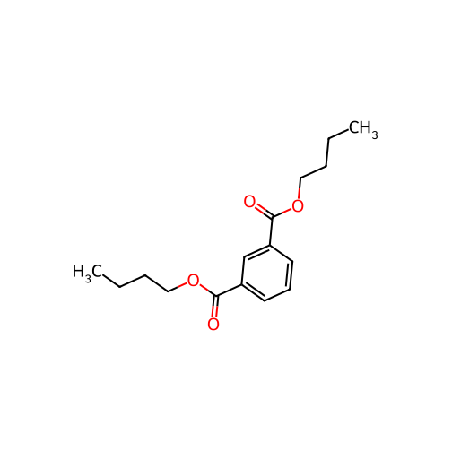 CCCCOC(=O)c1cccc(C(=O)OCCCC)c1